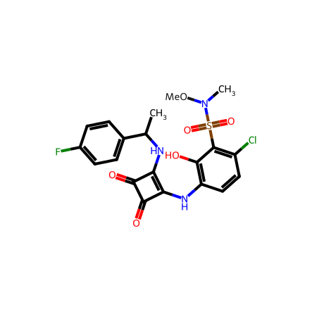 CON(C)S(=O)(=O)c1c(Cl)ccc(Nc2c(NC(C)c3ccc(F)cc3)c(=O)c2=O)c1O